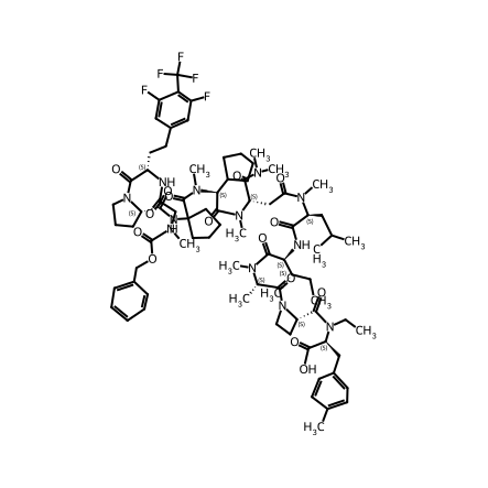 CC[C@H](C)[C@H](NC(=O)[C@H](CC(C)C)N(C)C(=O)C[C@@H](C(=O)N(C)C)N(C)C(=O)[C@H](C1CCCC1)N(C)C(=O)C1(NC(=O)[C@@H]2CCCN2C(=O)[C@H](CCc2cc(F)c(C(F)(F)F)c(F)c2)NC(=O)CN(C)C(=O)OCc2ccccc2)CCCC1)C(=O)N(C)[C@@H](C)C(=O)N1CC[C@H]1C(=O)N(CC)[C@@H](Cc1ccc(C)cc1)C(=O)O